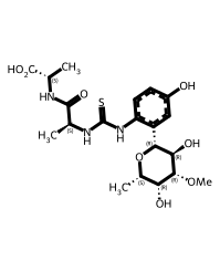 CO[C@@H]1[C@H](O)[C@H](C)O[C@H](c2cc(O)ccc2NC(=S)N[C@@H](C)C(=O)N[C@@H](C)C(=O)O)[C@H]1O